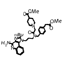 CCCCc1nc2c(N)nc3ccccc3c2n1CCCN(Cc1ccc(CC(=O)OC)cc1)C(=O)CN1CCC(C(=O)OC)CC1